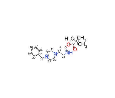 CC(C)(C)C(=O)OC1C[C@H](N2CCN(Cc3ccccc3)CC2)CN1